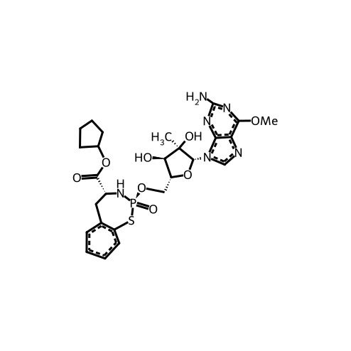 COc1nc(N)nc2c1ncn2[C@@H]1O[C@H](CO[P@]2(=O)N[C@@H](C(=O)OC3CCCC3)Cc3ccccc3S2)[C@@H](O)[C@@]1(C)O